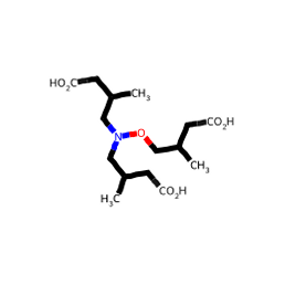 CC(CON(CC(C)CC(=O)O)CC(C)CC(=O)O)CC(=O)O